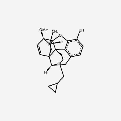 CO[C@]12C=C[C@@]3(C[C@H]1C)[C@H]1Cc4ccc(O)c5c4[C@@]3(CCN1CC1CC1)[C@H]2O5